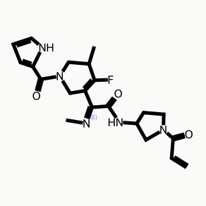 C=CC(=O)N1CCC(NC(=O)/C(=N/C)C2=C(F)C(C)CN(C(=O)c3ccc[nH]3)C2)C1